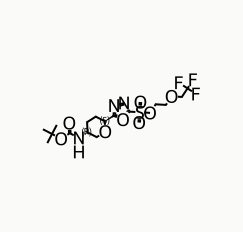 CC(C)(C)OC(=O)N[C@@H]1CC[C@@H](c2nnc(S(=O)(=O)OCCOCC(F)(F)F)o2)OC1